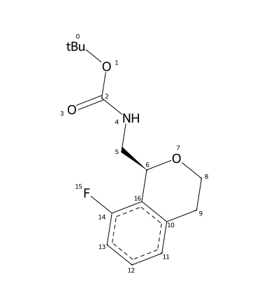 CC(C)(C)OC(=O)NC[C@H]1OCCc2cccc(F)c21